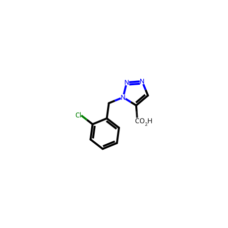 O=C(O)c1cnnn1Cc1ccccc1Cl